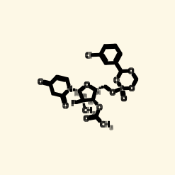 CC(=O)O[C@@H]1[C@@H](COP2(=O)OCOC(c3cccc(Cl)c3)O2)O[C@@H](N2C=CC(=O)CC2=O)[C@]1(C)F